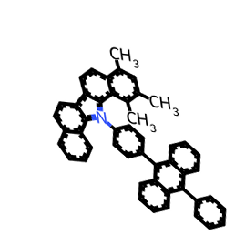 Cc1cc(C)c2ccc3c4ccc5ccccc5c4n(-c4ccc(-c5c6ccccc6c(-c6ccccc6)c6ccccc56)cc4)c3c2c1C